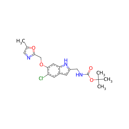 Cc1cnc(COc2cc3[nH]c(CNC(=O)OC(C)(C)C)cc3cc2Cl)o1